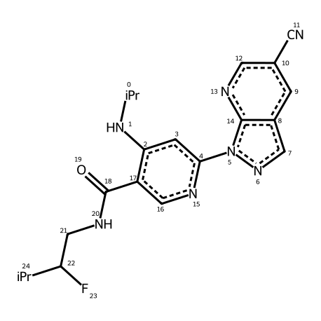 CC(C)Nc1cc(-n2ncc3cc(C#N)cnc32)ncc1C(=O)NCC(F)C(C)C